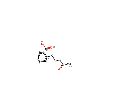 CC(=O)CCCc1ccccc1C(=O)O